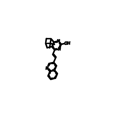 CC1(C)C2Cc3c(C=Cc4cnc5ccccc5c4)nc(O)nc3C1C2